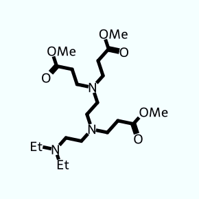 CCN(CC)CCN(CCC(=O)OC)CCN(CCC(=O)OC)CCC(=O)OC